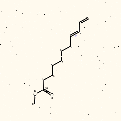 C=C/C=C/CCCCCCC(=O)OC